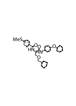 CSc1ccc(C(=O)NC(COCc2ccccc2)C(=O)Nc2ccc(Oc3ccccc3)cc2)cc1